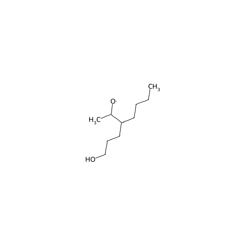 CCCC[C](CCCO)C(C)[O]